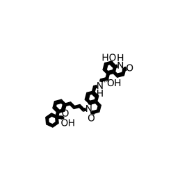 O=C1CCc2cc(CNC[C@@H](O)c3ccc(O)c4[nH]c(=O)ccc34)ccc2N1CCCCc1cccc(C2(C(=O)O)CCCCC2)c1